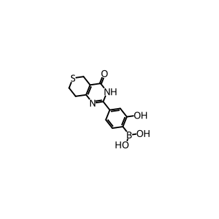 O=c1[nH]c(-c2ccc(B(O)O)c(O)c2)nc2c1CSCC2